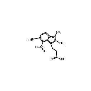 C#Cc1ccc2c(c(CCC(=O)O)c(C)n2C)c1[N+](=O)[O-]